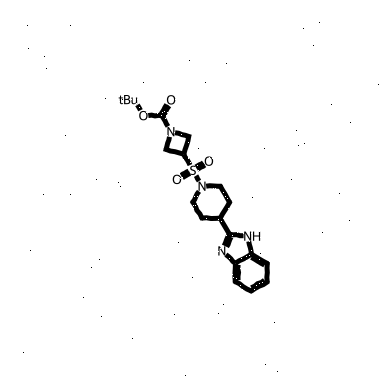 CC(C)(C)OC(=O)N1CC(S(=O)(=O)N2CCC(c3nc4ccccc4[nH]3)CC2)C1